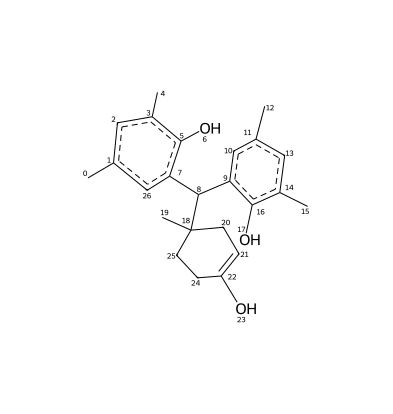 Cc1cc(C)c(O)c(C(c2cc(C)cc(C)c2O)C2(C)CC=C(O)CC2)c1